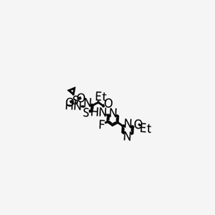 CCOc1cncc(-c2cnc(NC(=O)C(CC)c3csc(NS(=O)(=O)C4CC4)n3)c(F)c2)n1